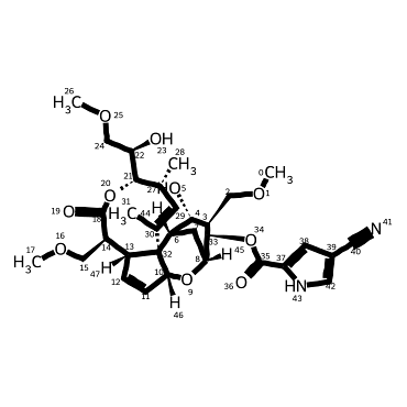 COC[C@@H]1[C@@H](O)[C@@H]2C[C@@H](O[C@@H]3C=C[C@@H]4[C@@H](COC)C(=O)O[C@H]([C@H](O)COC)[C@H](C)/C=C(\C)[C@@]432)[C@@H]1OC(=O)c1cc(C#N)c[nH]1